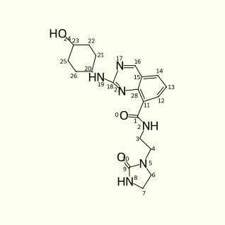 O=C(NCCN1CCNC1=O)c1cccc2cnc(NC3CCC(O)CC3)nc12